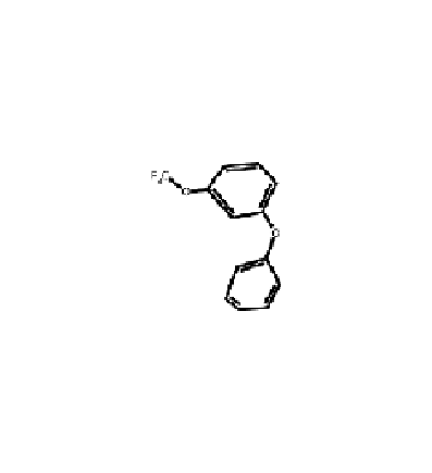 FC(F)(F)Oc1cccc(Oc2ccccc2)c1